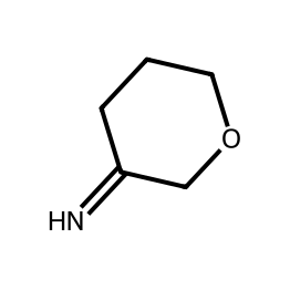 N=C1CCCOC1